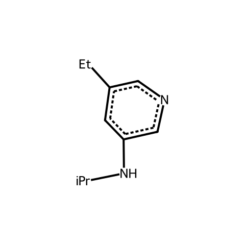 CCc1cncc(NC(C)C)c1